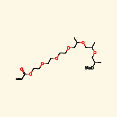 C=CC(=O)OCCOCCOCCOCC(C)OCC(C)OCC(C)OC